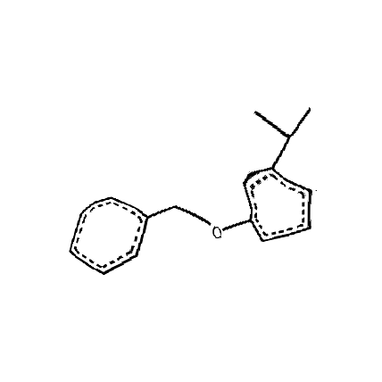 CC(C)c1[c]ccc(OCc2ccccc2)c1